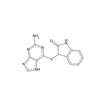 Nc1nc(SC2C(=O)Nc3ccccc32)c2[nH]cnc2n1